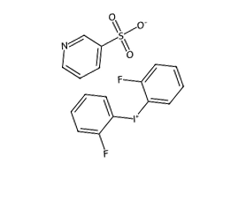 Fc1ccccc1[I+]c1ccccc1F.O=S(=O)([O-])c1cccnc1